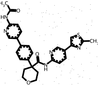 CC(=O)Nc1ccc(-c2ccc(C3(C(=O)Nc4ccc(-c5csc(C)n5)cn4)CCOCC3)cc2)cn1